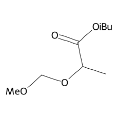 COCOC(C)C(=O)OCC(C)C